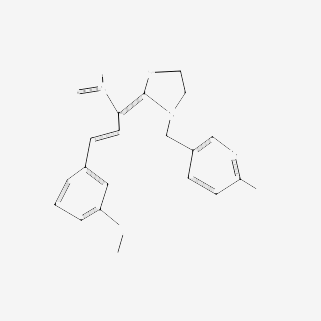 COc1cccc(/C=C/C(=C2/NCCN2Cc2ccc(Cl)nc2)[N+](=O)[O-])c1